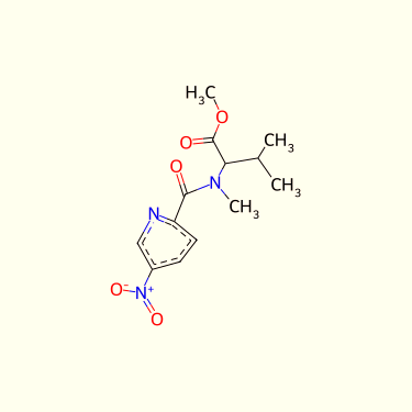 COC(=O)C(C(C)C)N(C)C(=O)c1ccc([N+](=O)[O-])cn1